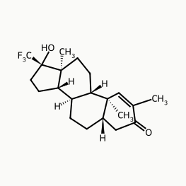 CC1=C[C@@]2(C)[C@@H](CC[C@@H]3[C@@H]2CC[C@@]2(C)[C@H]3CC[C@@]2(O)C(F)(F)F)CC1=O